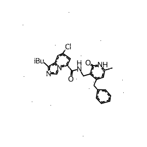 CCC(C)c1ncn2c(C(=O)NCc3c(Cc4ccccc4)cc(C)[nH]c3=O)cc(Cl)cc12